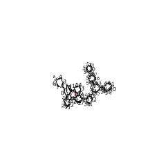 C1=C(c2ccccc2)N=C(c2ccccc2)C2C1=c1ccccc1=C2c1ccc(-c2cccc(C3CC(c4ccccc4)CC(c4ccc(-c5ccccc5)cc4)C3)c2)cc1